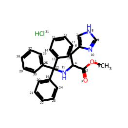 COC(=O)C(Cc1c[nH]cn1)NC(c1ccccc1)(c1ccccc1)c1ccccc1.Cl